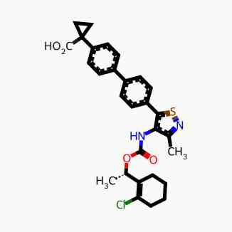 Cc1nsc(-c2ccc(-c3ccc(C4(C(=O)O)CC4)cc3)cc2)c1NC(=O)O[C@@H](C)C1=C(Cl)CCCC1